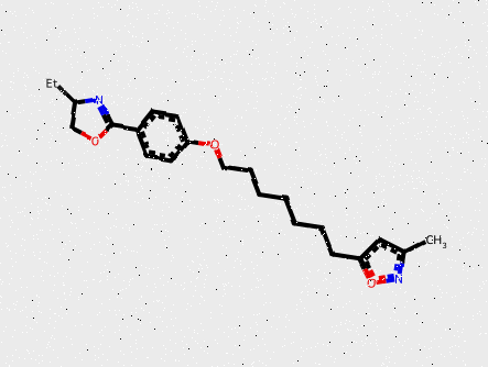 CCC1COC(c2ccc(OCCCCCCCc3cc(C)no3)cc2)=N1